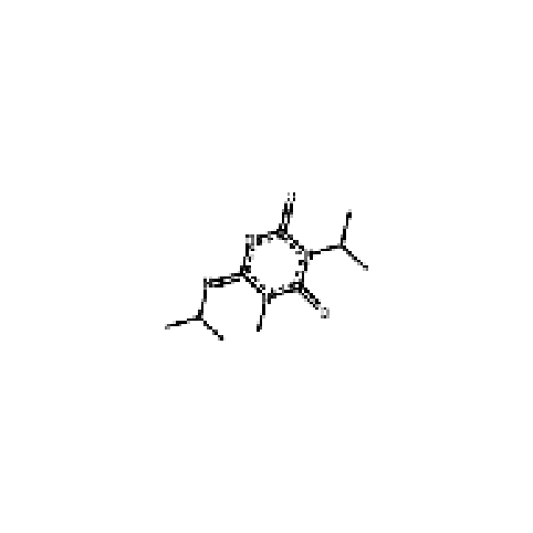 CC(C)/N=c1/oc(=O)n(C(C)C)c(=O)n1C